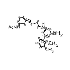 CC(=O)Nc1cccc(OCCCNc2cc(-c3cccc(C)c3C)nc(N)n2)c1